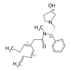 C=C/C=C\C(=C/CC)CC(=O)N(C)[C@H](CN1CC[C@H](O)C1)c1ccccc1